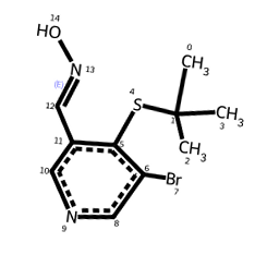 CC(C)(C)Sc1c(Br)cncc1/C=N/O